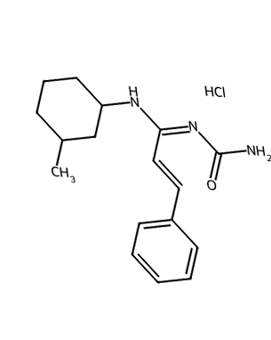 CC1CCCC(NC(/C=C/c2ccccc2)=N/C(N)=O)C1.Cl